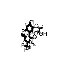 CC(Oc1cc(-n2c(=O)cc(C(F)(F)F)n(C)c2=O)c(F)cc1Cl)C(=O)O